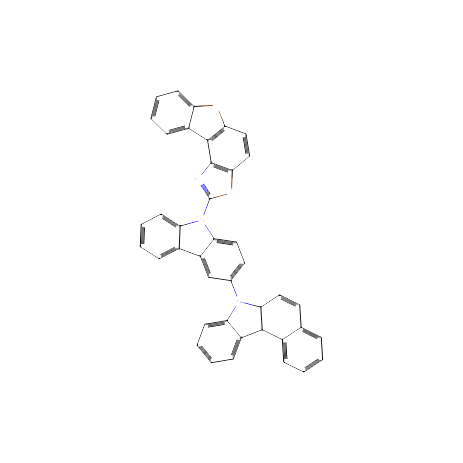 C1=CC2C(c3ccccc31)c1ccccc1N2c1ccc2c(c1)c1ccccc1n2-c1nc2c(ccc3sc4ccccc4c32)s1